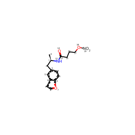 C[C@H](Cc1ccc2occc2c1)NC(=O)CCCO[N+](=O)[O-]